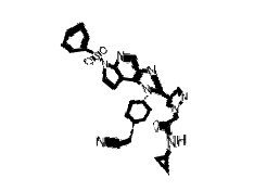 N#CC[C@H]1CC[C@H](n2c(-c3cnn(CC(=O)NC4CC4)c3)nc3cnc4c(ccn4S(=O)(=O)c4ccccc4)c32)CC1